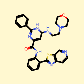 O=C(Nc1ccccc1-c1nc2ccncc2s1)C1=CC(NCCN2CCOCC2)NC(c2ccccc2)=N1